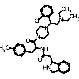 CCN(CC)CC(c1ccccc1Cl)N1CCN(C(=O)C(Cc2ccc(C)cc2)NC(=O)CC2NCc3ccccc32)CC1